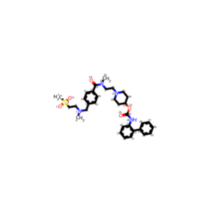 CN(CCS(C)(=O)=O)Cc1ccc(C(=O)N(C)CCN2CCC(OC(=O)Nc3ccccc3-c3ccccc3)CC2)cc1